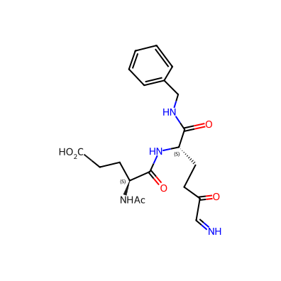 CC(=O)N[C@@H](CCC(=O)O)C(=O)N[C@@H](CCC(=O)C=N)C(=O)NCc1ccccc1